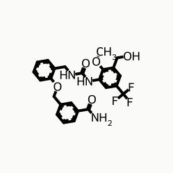 COc1c(CO)cc(C(F)(F)F)cc1NC(=O)NCc1ccccc1OCc1cccc(C(N)=O)c1